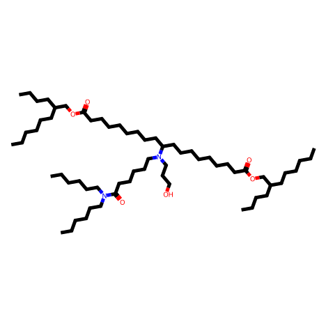 CCCCCCC(CCCC)COC(=O)CCCCCCCCC(CCCCCCCCC(=O)OCC(CCCC)CCCCCC)N(CCCO)CCCCCC(=O)N(CCCCCC)CCCCCC